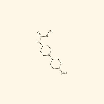 COC1CCC(N2CCC(NC(=O)OC(C)(C)C)CC2)CC1